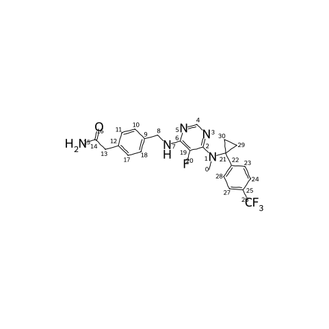 CN(c1ncnc(NCc2ccc(CC(N)=O)cc2)c1F)C1(c2ccc(C(F)(F)F)cc2)CC1